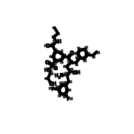 CCCNC(=O)c1cc(C(=O)N(Cc2cccc(CC)c2)C[C@@H](O)[C@@H](N)Cc2cc(F)cc(F)c2)cc(S(=O)(=O)NCCO)c1